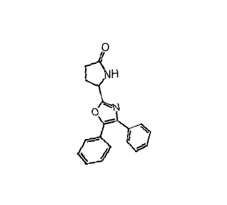 O=C1CCC(c2nc(-c3ccccc3)c(-c3ccccc3)o2)N1